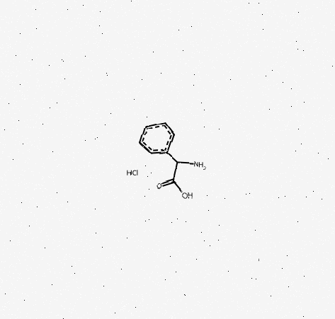 Cl.NC(C(=O)O)c1ccccc1